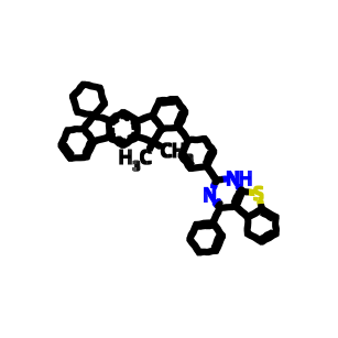 CC1(C)c2cc3c(cc2C2C=CC=C(C4C=CC(C5N=C(C6=CCCC=C6)C6=C(N5)SC5=CC=CCC56)=CC4)C21)C1(CCCCC1)C1CC=CC=C31